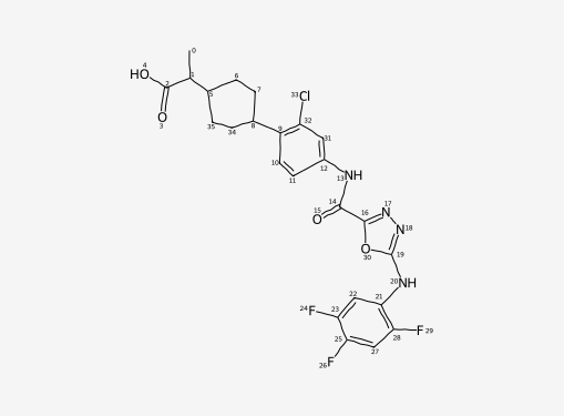 CC(C(=O)O)C1CCC(c2ccc(NC(=O)c3nnc(Nc4cc(F)c(F)cc4F)o3)cc2Cl)CC1